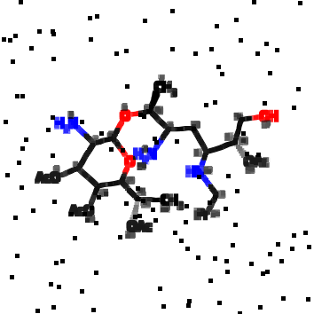 CC(=O)OC1C(N)C(O[C@@H](C)C(N)CC(NCC(C)C)[C@H](CO)OC(C)=O)OC([C@H](C)OC(C)=O)C1OC(C)=O